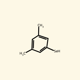 Cc1cc(C)cc([SeH])c1